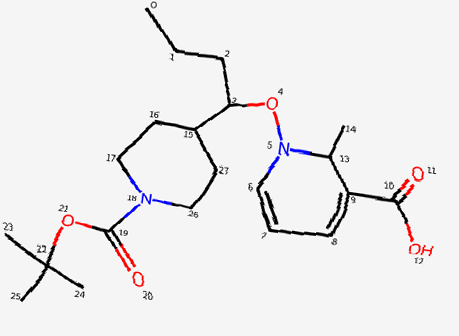 CCCC(ON1C=CC=C(C(=O)O)C1C)C1CCN(C(=O)OC(C)(C)C)CC1